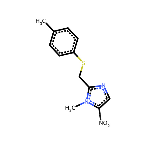 Cc1ccc(SCc2ncc([N+](=O)[O-])n2C)cc1